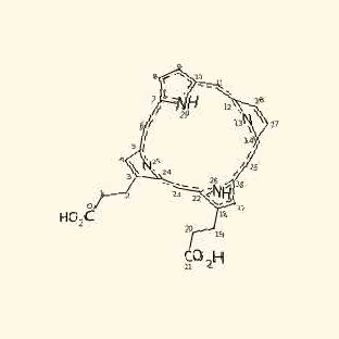 O=C(O)CCC1=Cc2cc3ccc(cc4nc(cc5cc(CCC(=O)O)c(cc1n2)[nH]5)C=C4)[nH]3